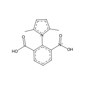 Cc1ccc(C)n1-c1c(C(=O)O)cccc1[N+](=O)O